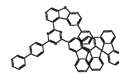 c1ccc(-c2ccc(-c3nc(-c4ccc5sc6ccccc6c5c4)nc(-c4cccc5oc6ccc(-c7cccc(-c8cccc9c8C8(c%10ccccc%10-c%10ccccc%108)c8ccccc8-9)c7)cc6c45)n3)cc2)cc1